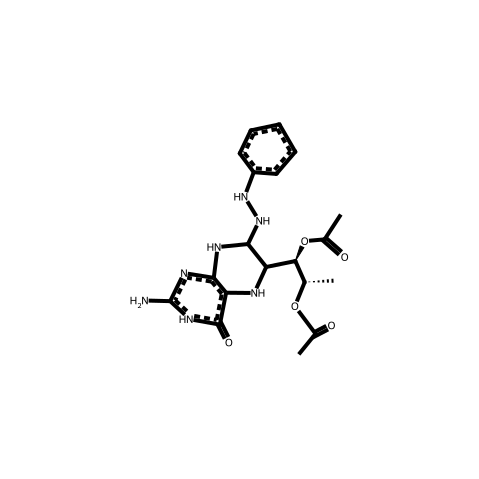 CC(=O)O[C@@H](C)[C@H](OC(C)=O)C1Nc2c(nc(N)[nH]c2=O)NC1NNc1ccccc1